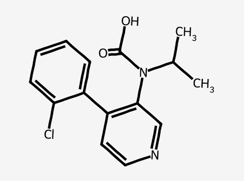 CC(C)N(C(=O)O)c1cnccc1-c1ccccc1Cl